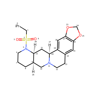 CC(C)CS(=O)(=O)N1CCC[C@@H]2CN3CCc4cc5c(cc4[C@@H]3C[C@@H]21)OCO5